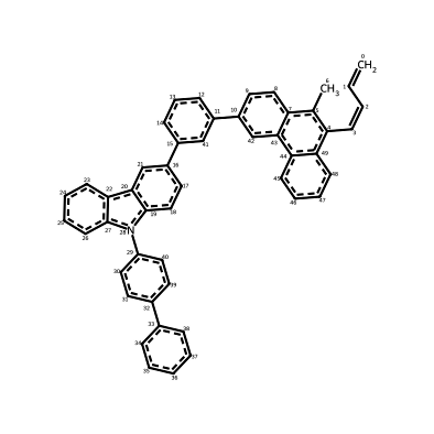 C=C/C=C\c1c(C)c2ccc(-c3cccc(-c4ccc5c(c4)c4ccccc4n5-c4ccc(-c5ccccc5)cc4)c3)cc2c2ccccc12